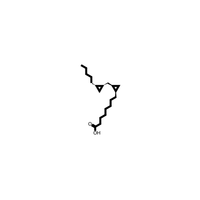 CCCCC[C@H]1C[C@H]1C[C@H]1C[C@H]1CCCCCCCC(=O)O